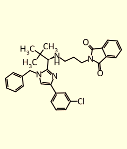 CC(C)(C)[C@@H](NCCCN1C(=O)c2ccccc2C1=O)c1nc(-c2cccc(Cl)c2)cn1Cc1ccccc1